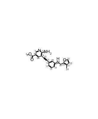 COC(=O)c1cnc(N)c(C#Cc2cccc(NCc3occc3C)c2)c1